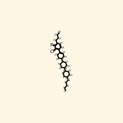 CCCCCC1CCC(C2CCC(C3CC=C(c4ccc(CCCC)c(F)c4Cl)CC3)CC2)CC1